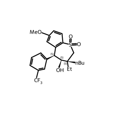 CCCC[C@]1(CC)CS(=O)(=O)c2ccc(OC)cc2[C@H](c2cccc(C(F)(F)F)c2)[C@@H]1O